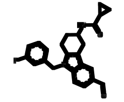 O=Cc1ccc2c(c1)c1c(n2Cc2cccc(F)c2)CCC(NC(=O)C2CC2)C1